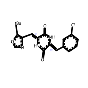 CC(C)(C)c1ocnc1/C=c1\[nH]c(=O)/c(=C/c2cccc(Cl)c2)[nH]c1=O